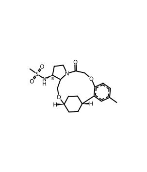 Cc1ccc2c(c1)[C@H]1CC[C@H](CC1)OCC1[C@@H](NS(C)(=O)=O)CCN1C(=O)CO2